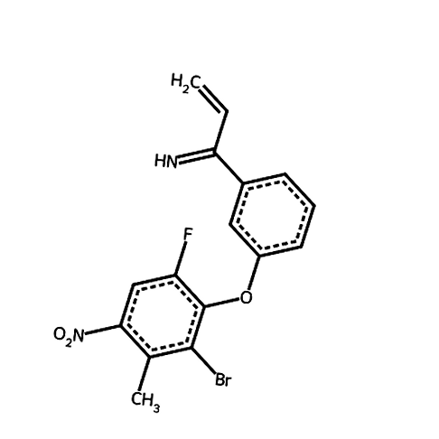 C=CC(=N)c1cccc(Oc2c(F)cc([N+](=O)[O-])c(C)c2Br)c1